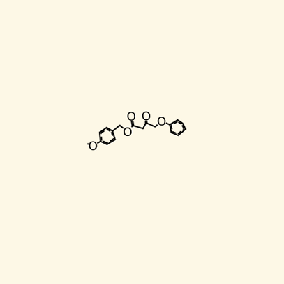 COc1ccc(COC(=O)CC(=O)COc2ccccc2)cc1